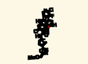 COCc1nnc([C@H]2CC[C@H](NC(=O)c3cc4c(cc3Cl)NC(=O)[C@]43[C@@H](c4ccnc(Cl)c4F)CNC34CCC(C)(C)CC4)CC2)o1